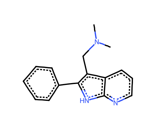 CN(C)Cc1c(-c2ccccc2)[nH]c2ncccc12